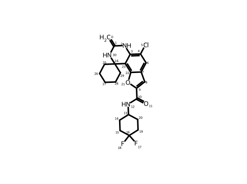 C=C1Nc2c(Cl)cc3cc(C(=O)NC4CCC(F)(F)CC4)oc3c2C2(CCCCC2)N1